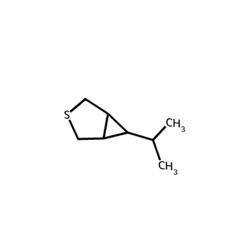 CC(C)C1C2CSCC21